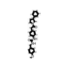 COc1ccc(CNC(=O)Nc2ccc(CC(=O)N3CCC(c4ccccc4)C3)cc2)cc1